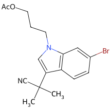 CC(=O)OCCCn1cc(C(C)(C)C#N)c2ccc(Br)cc21